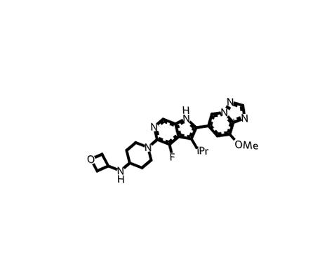 COc1cc(-c2[nH]c3cnc(N4CCC(NC5COC5)CC4)c(F)c3c2C(C)C)cn2ncnc12